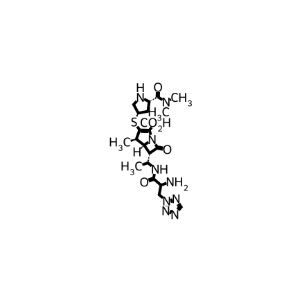 CC(NC(=O)C(N)Cn1ncnn1)[C@H]1C(=O)N2C(C(=O)O)=C(S[C@@H]3CN[C@H](C(=O)N(C)C)C3)[C@H](C)[C@H]12